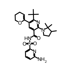 CC1CCN(c2nc(C(C)(C)C)c(C3=CCCCO3)cc2C(=O)NS(=O)(=O)c2cccc(N)n2)C1(C)C